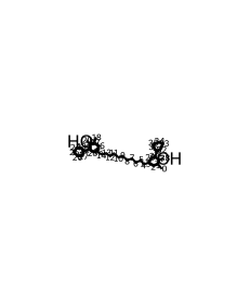 Cc1cc(CCCCCCCCCCCc2cc(C)c(O)c(-c3ccccc3)c2)cc(-c2ccccc2)c1O